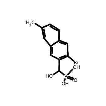 Cc1ccc2cc(Br)c(C(O)P(=O)(O)O)cc2c1